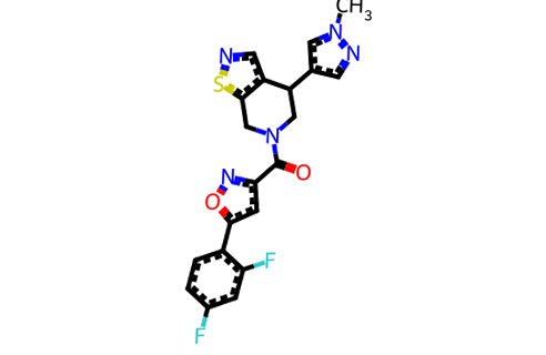 Cn1cc(C2CN(C(=O)c3cc(-c4ccc(F)cc4F)on3)Cc3sncc32)cn1